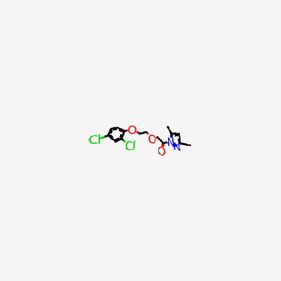 Cc1cc(C)n(C(=O)COCCOc2ccc(Cl)cc2Cl)n1